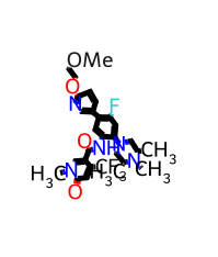 COCCOc1ccc(-c2cc(NC(=O)c3cn(C)c(=O)cc3C(F)(F)F)c(N3CC(C)N(C)C(C)C3)cc2F)cn1